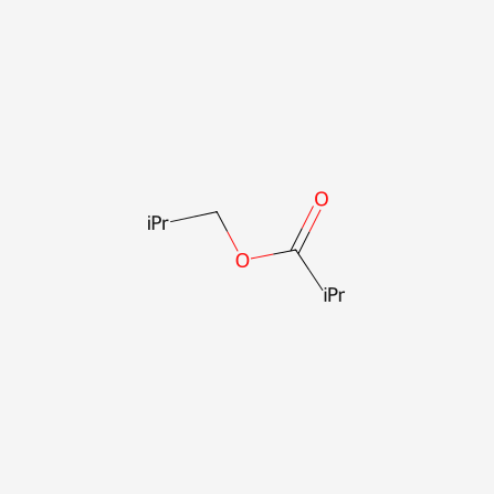 [CH2]C(C)C(=O)OCC(C)C